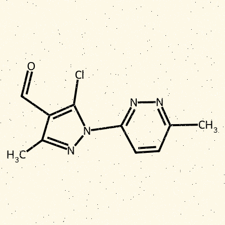 Cc1ccc(-n2nc(C)c(C=O)c2Cl)nn1